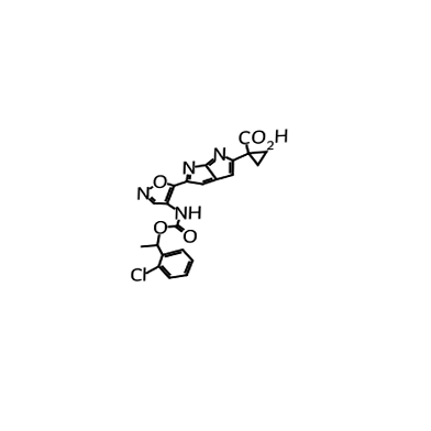 CC(OC(=O)Nc1cnoc1C1=NC2=NC(C3(C(=O)O)CC3)=CC2=C1)c1ccccc1Cl